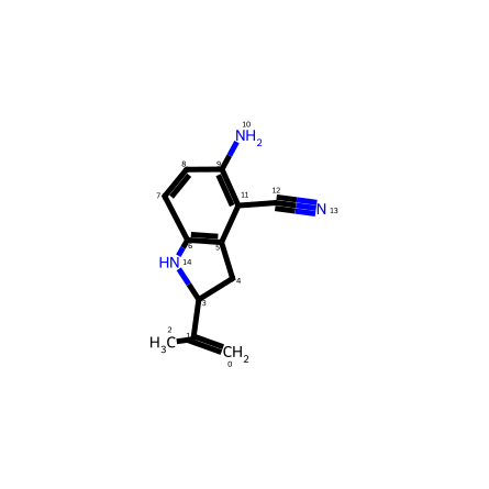 C=C(C)C1Cc2c(ccc(N)c2C#N)N1